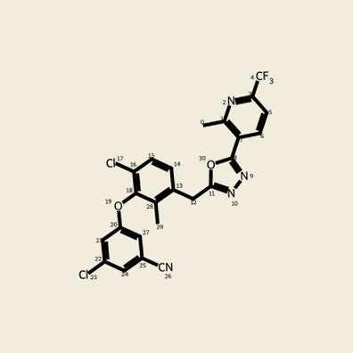 Cc1nc(C(F)(F)F)ccc1-c1nnc(Cc2ccc(Cl)c(Oc3cc(Cl)cc(C#N)c3)c2C)o1